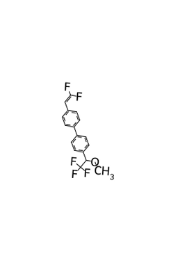 COC(c1ccc(-c2ccc(C=C(F)F)cc2)cc1)C(F)(F)F